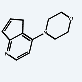 C1=Cc2nccc(N3CCOCC3)c2C1